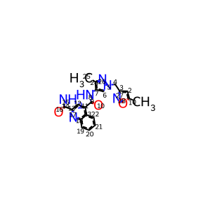 Cc1cc(Cn2cc(NC(=O)c3cc(C(N)=O)nc4ccccc34)c(C)n2)no1